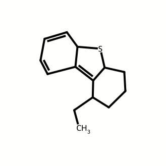 CCC1CCCC2SC3C=CC=CC3=C12